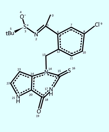 CC(=N[S@+]([O-])C(C)(C)C)c1cc(Cl)ccc1Cn1c(=S)[nH]c(=O)c2[nH]ccc21